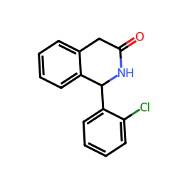 O=C1Cc2ccccc2C(c2ccccc2Cl)N1